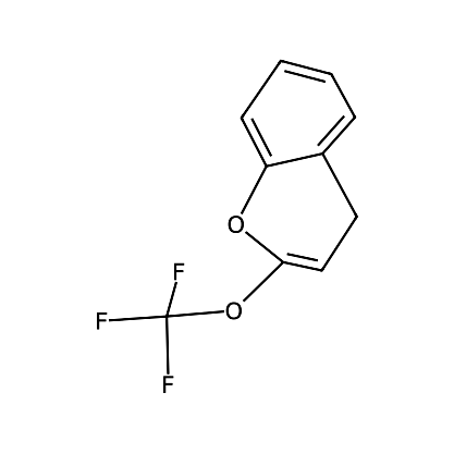 FC(F)(F)OC1=CCc2ccccc2O1